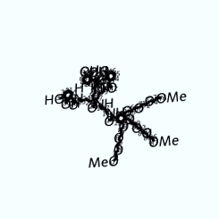 COCCOCCOCCOc1cc(C(=O)NCCCNC(=O)C(CCCNC(=O)c2cccc(O)c2O)(CCCNC(=O)c2cccc(O)c2O)CCCNC(=O)c2cccc(O)c2O)cc(OCCOCCOCCOC)c1OCCOCCOCCOC